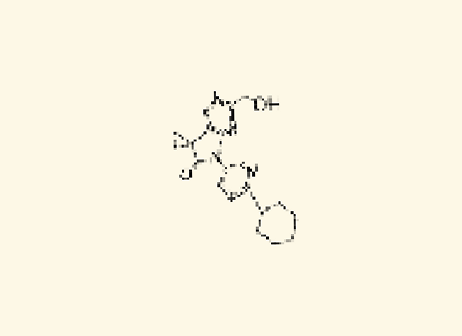 O=C1N(c2ccc(C3CCCCC3)nc2)c2nc(CO)ncc2C12CC2